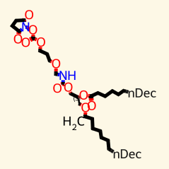 C=C(CCCCCCCCCCCCCCCC)OC[C@@H](COC(=O)NCOCCCOC(=O)ON1C(=O)CCC1=O)OC(=O)CCCCCCCCCCCCCCC